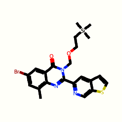 Cc1cc(Br)cc2c(=O)n(COCC[Si](C)(C)C)c(-c3cc4ccsc4cn3)nc12